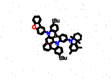 Cc1cc2c3c(c1)N(c1ccc(C(C)(C)C)cc1-c1ccccc1)c1cc(N4c5cc(C)cc(C)c5C5(C)CCCCC45C)ccc1B3c1ccc(C(C)(C)C)cc1N2c1ccc2oc3ccccc3c2c1